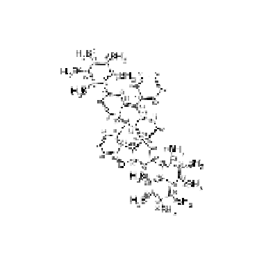 Bc1c(B)c(B)c(-c2ccc3c(-c4cccc5oc6cc(-c7c(B)c(B)c(B)c8c(B)c(B)c(B)c(B)c78)ccc6c45)c4ccccc4c(-c4ccccc4)c3c2)c(B)c1B